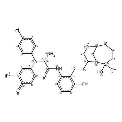 CC(C)n1cc([C@H](c2ccc(Cl)cc2)[C@H](N)C(=O)Nc2cccc(F)c2CCC2CNC3CCCS(O)(O)N2C3)ccc1=O